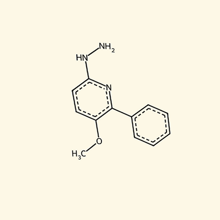 COc1ccc(NN)nc1-c1ccccc1